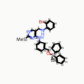 CSc1ncc(CNc2ccccc2Br)c(Nc2cccc(CO[Si](c3ccccc3)(c3ccccc3)C(C)(C)C)c2)n1